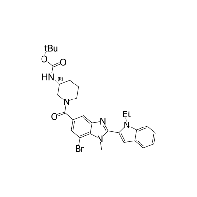 CCn1c(-c2nc3cc(C(=O)N4CCC[C@@H](NC(=O)OC(C)(C)C)C4)cc(Br)c3n2C)cc2ccccc21